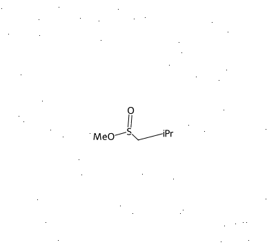 COS(=O)CC(C)C